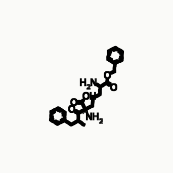 CC(Cc1ccccc1)C(=O)[C@](N)(CCCC(N)C(=O)OCc1ccccc1)C(=O)O